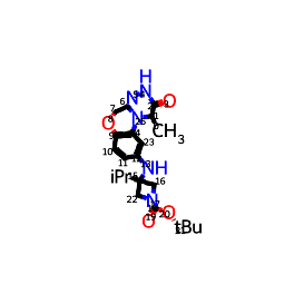 CC1C(=O)NN=C2COc3ccc(NC4(C(C)C)CN(C(=O)OC(C)(C)C)C4)cc3N21